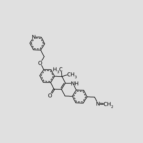 C=NCc1ccc2c(c1)NC1=C(C2)C(=O)c2ccc(OCc3ccncc3)cc2C1(C)C